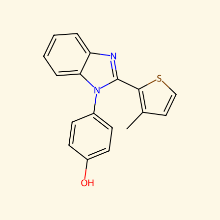 Cc1ccsc1-c1nc2ccccc2n1-c1ccc(O)cc1